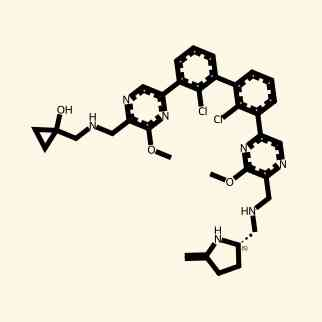 C=C1CC[C@@H](CNCc2ncc(-c3cccc(-c4cccc(-c5cnc(CNCC6(O)CC6)c(OC)n5)c4Cl)c3Cl)nc2OC)N1